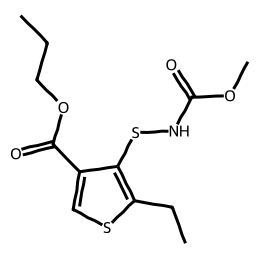 CCCOC(=O)c1csc(CC)c1SNC(=O)OC